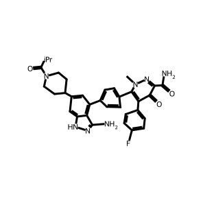 CC(C)C(=O)N1CCC(c2cc(-c3ccc(-c4c(-c5ccc(F)cc5)c(=O)c(C(N)=O)nn4C)cc3)c3c(N)n[nH]c3c2)CC1